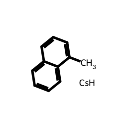 Cc1cccc2ccccc12.[CsH]